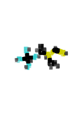 C[S+](C)C=S.F[B-](F)(F)F